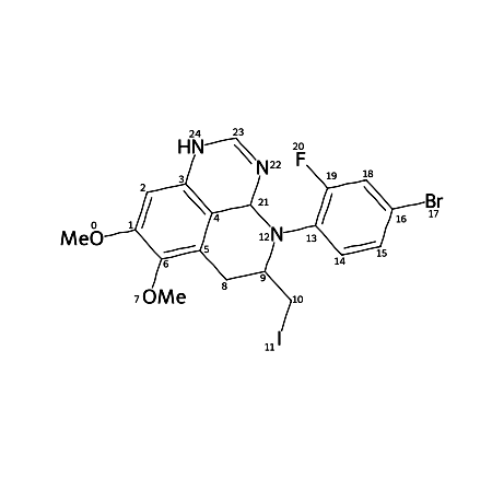 COc1cc2c3c(c1OC)CC(CI)N(c1ccc(Br)cc1F)C3N=CN2